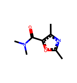 Cc1nc(C)c(C(=O)N(C)C)o1